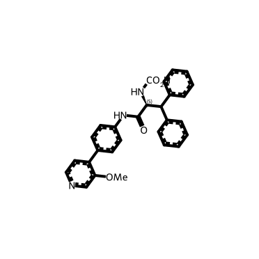 COc1cnccc1-c1ccc(NC(=O)[C@@H](NC(=O)O)C(c2ccccc2)c2ccccc2)cc1